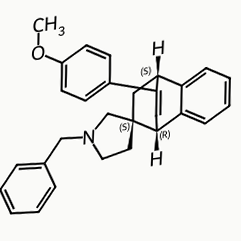 COc1ccc(C2=C[C@@H]3c4ccccc4[C@H]2C[C@]32CCN(Cc3ccccc3)C2)cc1